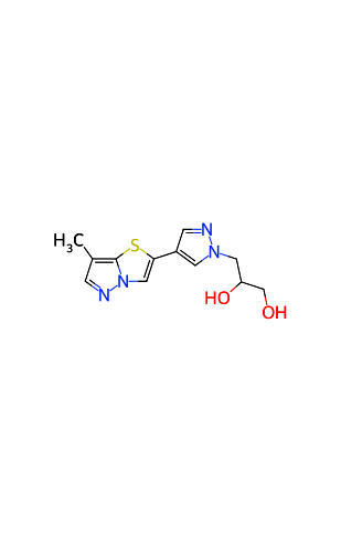 Cc1cnn2cc(-c3cnn(CC(O)CO)c3)sc12